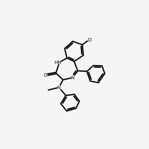 CN(c1ccccc1)C1N=C(c2ccccc2)c2cc(Cl)ccc2NC1=O